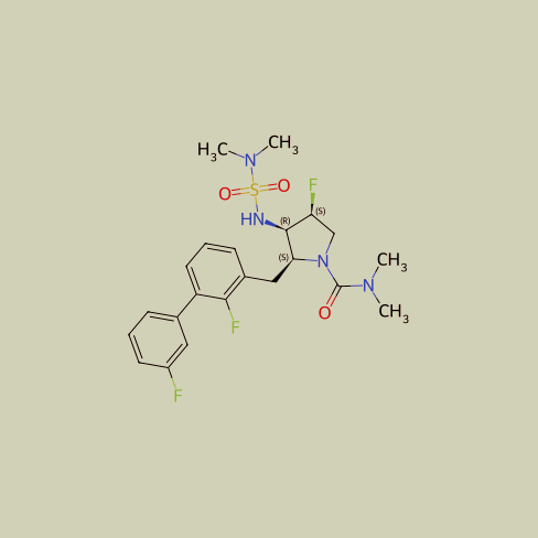 CN(C)C(=O)N1C[C@H](F)[C@H](NS(=O)(=O)N(C)C)[C@@H]1Cc1cccc(-c2cccc(F)c2)c1F